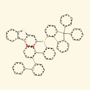 c1ccc(-c2ccccc2-c2ccccc2-c2ccccc2N(c2ccc3c(c2)oc2ccccc23)c2cccc3c2-c2ccccc2C3(c2ccccc2)c2ccccc2)cc1